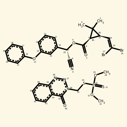 CC1(C)[C@H](C(=O)O[C@H](C#N)c2cccc(Oc3ccccc3)c2)[C@@H]1C=C(Br)Br.COP(=S)(OC)SCn1nnc2ccccc2c1=O